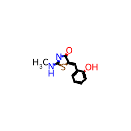 CNC1=NC(=O)/C(=C/c2ccccc2O)S1